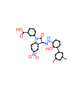 Cc1cc(C)cc(-c2cccc(NN=C3C(=O)N(c4cccc(C(=O)O)c4)c4ccc([N+](=O)[O-])cc43)c2O)c1